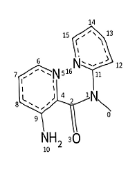 CN(C(=O)c1ncccc1N)c1ccccn1